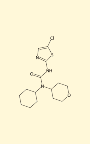 O=C(Nc1ncc(Cl)s1)N(C1CCCCC1)C1CCOCC1